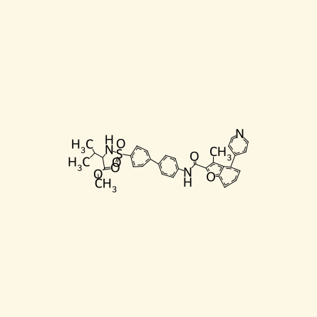 COC(=O)C(NS(=O)(=O)c1ccc(-c2ccc(NC(=O)c3oc4cccc(-c5ccncc5)c4c3C)cc2)cc1)C(C)C